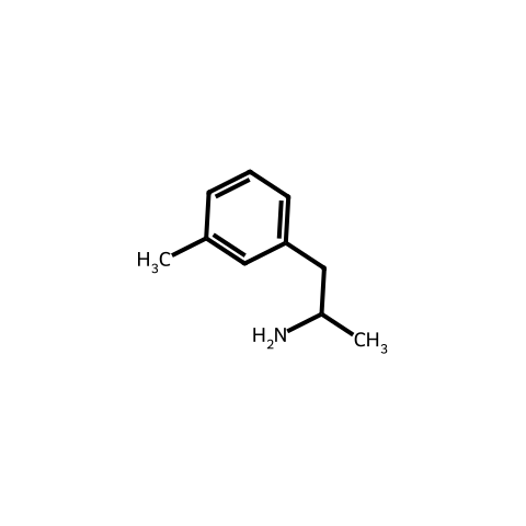 Cc1cccc(CC(C)N)c1